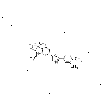 CC1=CC(c2ncc(-c3ccc4c(c3)N(C)C(=O)C4(C)C)s2)=CCN1C